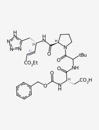 CCOC(=O)/C=C/[C@H](Cc1nnn[nH]1)NC(=O)[C@H]1CCCN1C(=O)C(NC(=O)[C@H](CC(=O)O)NC(=O)OCc1ccccc1)C(C)(C)C